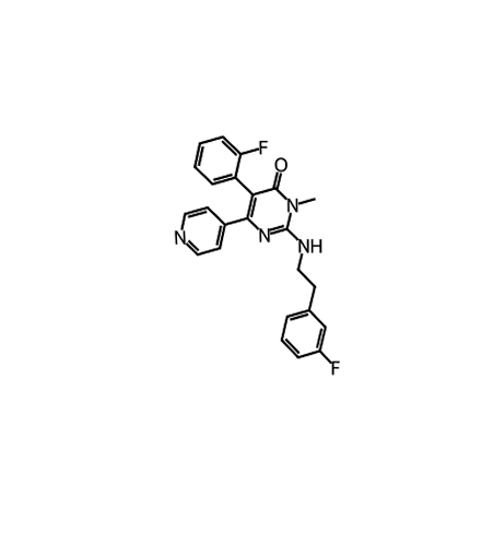 Cn1c(NCCc2cccc(F)c2)nc(-c2ccncc2)c(-c2ccccc2F)c1=O